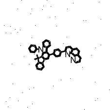 CC1(C)c2ccccc2-c2cc(-c3ccc(-c4ccc5ccc6cccnc6c5n4)cc3)c3c4ccccc4n(-c4ccccc4)c3c21